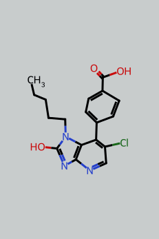 CCCCCn1c(O)nc2ncc(Cl)c(-c3ccc(C(=O)O)cc3)c21